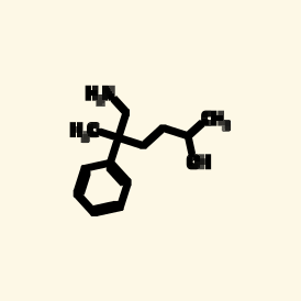 CC(O)CCC(C)(CN)c1ccccc1